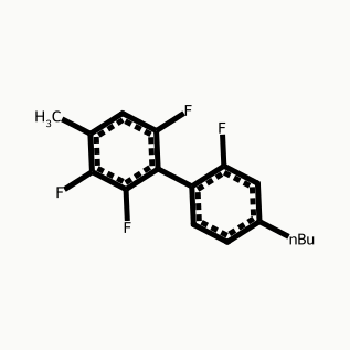 CCCCc1ccc(-c2c(F)cc(C)c(F)c2F)c(F)c1